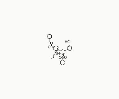 CCCN[C@H]1C[C@@H](C(=O)OCc2ccccc2)CCN1CCC(CN(C)S(=O)(=O)c1ccccc1)c1ccccc1.Cl